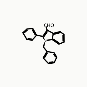 O=Cc1c(-c2ccccc2)n(Cc2ccccc2)c2ccccc12